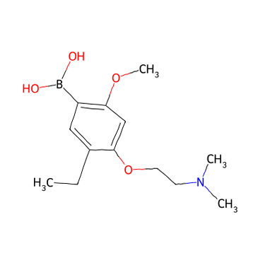 CCc1cc(B(O)O)c(OC)cc1OCCN(C)C